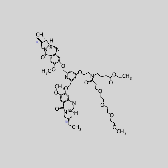 C/C=C1\C[C@H]2C=Nc3cc(OCc4cc(OCCN(CCCC(=O)OCC)C(=O)CCOCCOCCOCCOC)cc(COc5cc6c(cc5OC)C(=O)N5C/C(=C/C)C[C@H]5C=N6)n4)c(OC)cc3C(=O)N2C1